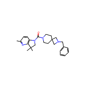 Cc1ccc2c(n1)C(C)(C)CN2C(=O)N1CCC2(CC1)CN(Cc1ccccc1)C2